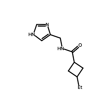 CCC1CC(C(=O)NCc2c[nH]cn2)C1